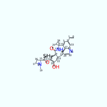 C=Cc1cc(C2(NC(=O)c3cc(OC([SiH3])[C@@H]4CCN4C)c(O)cc3C)CC2)c2cccnc2c1